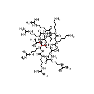 N=C(N)NCCC[C@H](NC(=O)[C@H](CCCCN)NC(=O)[C@H](CCCCN)NC(=O)[C@H](CCCNC(=N)N)NC(=O)[C@H](CCCNC(=N)N)NC(=O)[C@H](CCC(N)=O)NC(=O)[C@H](CCCNC(=N)N)NC(=O)[C@H](CCCNC(=N)N)NC(=O)[C@@H](N)CCCNC(=N)N)C(=O)O